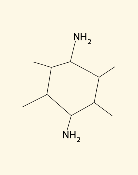 CC1C(C)C(N)C(C)C(C)C1N